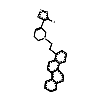 Clc1nsnc1C1=CCCN(CCc2cccc3c2ccc2c4ccccc4ccc32)C1